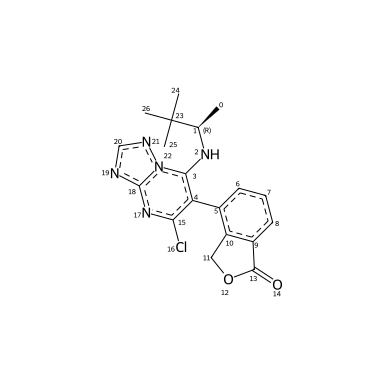 C[C@@H](Nc1c(-c2cccc3c2COC3=O)c(Cl)nc2ncnn12)C(C)(C)C